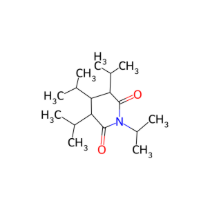 CC(C)C1C(=O)N(C(C)C)C(=O)C(C(C)C)C1C(C)C